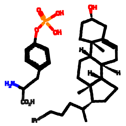 CC(C)CCCC(C)[C@H]1CC[C@H]2[C@@H]3CC=C4C[C@@H](O)CC[C@]4(C)[C@H]3CC[C@]12C.NC(Cc1ccc(OP(=O)(O)O)cc1)C(=O)O